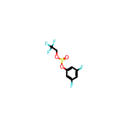 O=S(OCC(F)(F)F)Oc1cc(F)cc(F)c1